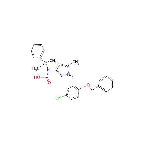 Cc1cc(N(C(=O)O)C(C)(C)c2ccccc2)nn1Cc1cc(Cl)ccc1OCc1ccccc1